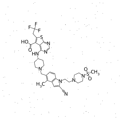 Cc1c(CN2CCC(Nc3ncnc4sc(CC(F)(F)F)c(C(=O)O)c34)CC2)ccc2c1cc(C#N)n2CCN1CCN(S(C)(=O)=O)CC1